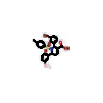 Bc1cccc(C2CC=C(C(=O)O)C(c3cccc(Br)c3)N2S(=O)(=O)c2ccc(C)cc2)c1